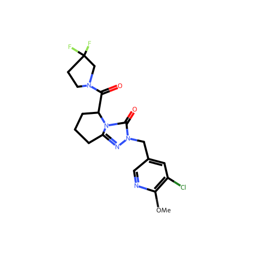 COc1ncc(Cn2nc3n(c2=O)C(C(=O)N2CCC(F)(F)C2)CCC3)cc1Cl